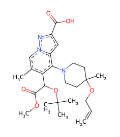 C=CCOC1(C)CCN(c2c(C(OC(C)(C)C)C(=O)OC)c(C)cn3nc(C(=O)O)cc23)CC1